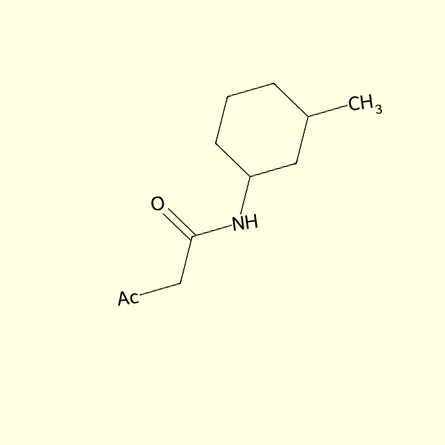 CC(=O)CC(=O)NC1CCCC(C)C1